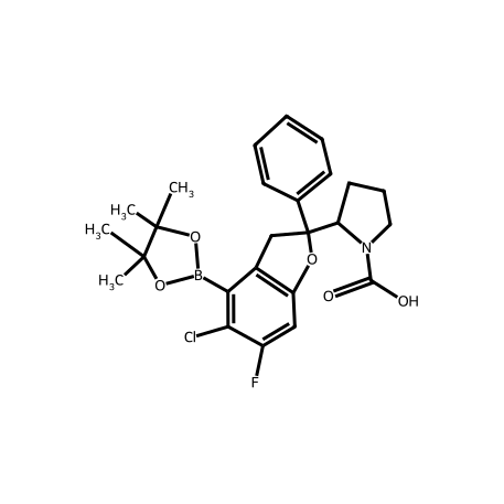 CC1(C)OB(c2c(Cl)c(F)cc3c2CC(c2ccccc2)(C2CCCN2C(=O)O)O3)OC1(C)C